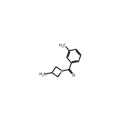 Cc1cccc(C(=O)N2CC(N)C2)c1